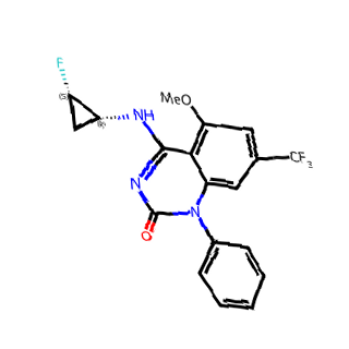 COc1cc(C(F)(F)F)cc2c1c(N[C@@H]1C[C@@H]1F)nc(=O)n2-c1ccccc1